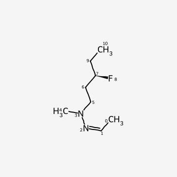 C/C=N\N(C)CC[C@H](F)CC